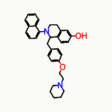 Oc1ccc2c(c1)CCN(c1cccc3ccccc13)C2Cc1ccc(OCCN2CCCCC2)cc1